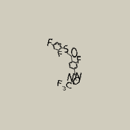 O=C(CSc1ccc(F)cc1F)c1ccc(-c2noc(C(F)(F)F)n2)cc1F